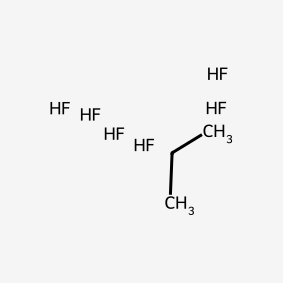 CCC.F.F.F.F.F.F